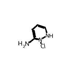 NC1=CC=CNN1Cl